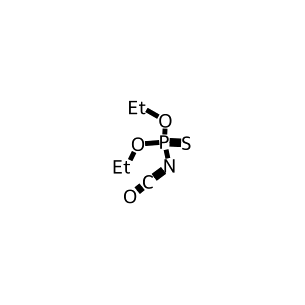 CCOP(=S)(N=C=O)OCC